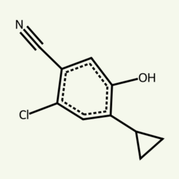 N#Cc1cc(O)c(C2CC2)cc1Cl